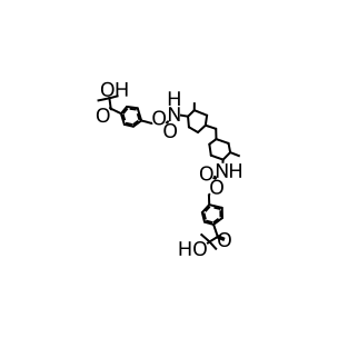 CC1CC(CC2CCC(NC(=O)OCc3ccc(C(=O)C(C)(C)O)cc3)C(C)C2)CCC1NC(=O)OCc1ccc(C(=O)C(C)(C)O)cc1